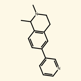 CC1c2ccc(-c3cccnc3)cc2CCN1C